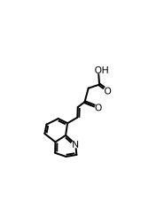 O=C(O)CC(=O)C=Cc1cccc2cccnc12